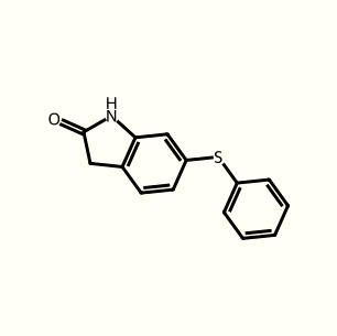 O=C1Cc2ccc(Sc3ccccc3)cc2N1